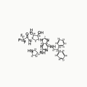 O=C(N[C@H]1C[C@@H](n2cnc3c(NCC(c4ccccc4)c4ccccc4)nc(N[C@@H]4CCNC4)nc32)[C@H](O)[C@@H]1O)C(F)(F)F